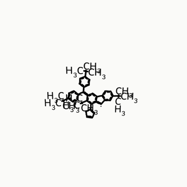 CC(C)(C)c1ccc(C(c2ccc(C(C)(C)C)cc2)=c2cc3c(c(C4=CC=CC4)c2C(C)(C)C)=[C]c2cc(C(C)(C)C)ccc2-3)cc1